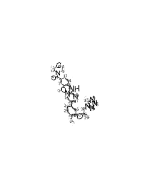 COc1cc(C(=O)N2CCOCC2)ccc1Nc1ncc(-c2ccc(C)c(OC(C)Cn3cnnn3)c2)cn1